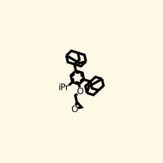 CC(C)c1cc(C23CC4CC(CC(C4)C2)C3)cc(C23CC4CC(CC(C4)C2)C3)c1OCC1CO1